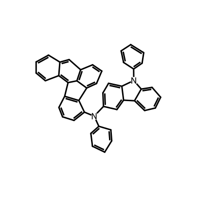 c1ccc(N(c2ccc3c(c2)c2ccccc2n3-c2ccccc2)c2cccc3c2-c2cccc4cc5ccccc5c-3c24)cc1